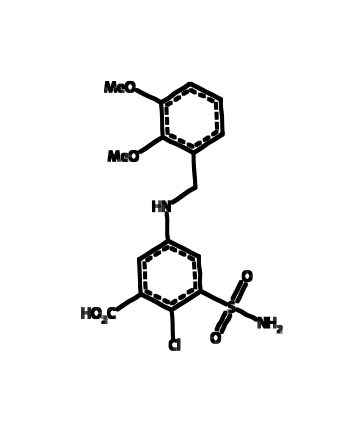 COc1cccc(CNc2cc(C(=O)O)c(Cl)c(S(N)(=O)=O)c2)c1OC